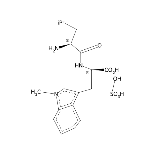 CC(C)C[C@H](N)C(=O)N[C@H](Cc1cn(C)c2ccccc12)C(=O)O.O=S(=O)(O)O